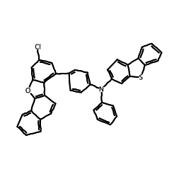 Clc1cc(-c2ccc(N(c3ccccc3)c3ccc4c(c3)sc3ccccc34)cc2)c2c(c1)oc1c3ccccc3ccc12